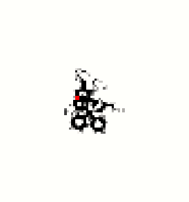 COCc1ccc(OC)c(-c2nc(CO)cn2C(c2ccccc2)(c2ccccc2)c2ccccc2)c1OC